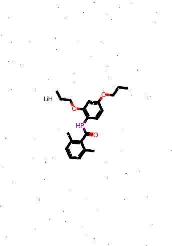 CCCOc1ccc(PC(=O)c2c(C)cccc2C)c(OCCC)c1.[LiH]